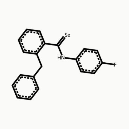 Fc1ccc(NC(=[Se])c2ccccc2Cc2ccccc2)cc1